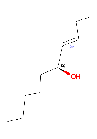 CC/C=C/[C@@H](O)CCCCC